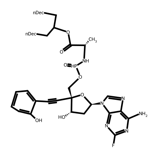 CCCCCCCCCCCC(CCCCCCCCCCC)OC(=O)[C@H](C)N[PH](=O)OC[C@@]1(C#Cc2ccccc2O)O[C@@H](n2cnc3c(N)nc(F)nc32)C[C@@H]1O